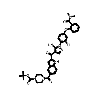 CN(C)C(=O)c1ccccc1Oc1ccc(-n2ncc(C(=O)c3cc4cc(C(=O)N5CCN(C(=O)OC(C)(C)C)CC5)ccc4[nH]3)c2N)c(Cl)c1